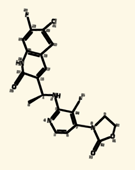 C[C@H](Nc1nccc(N2CCOC2=O)c1F)c1cc2cc(Cl)c(F)cc2[nH]c1=O